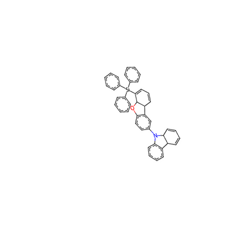 C1=CC2c3cc(N4c5ccccc5C5C=CC=CC54)ccc3OC2C([Si](c2ccccc2)(c2ccccc2)c2ccccc2)=C1